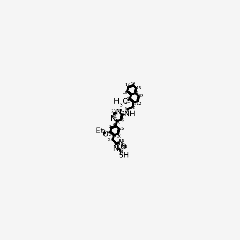 CCOc1cc(-c2cc(NCCc3ccc4ccccc4c3C)ncn2)ccc1Cc1noc(S)n1